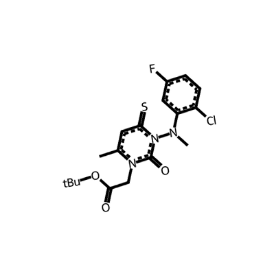 Cc1cc(=S)n(N(C)c2cc(F)ccc2Cl)c(=O)n1CC(=O)OC(C)(C)C